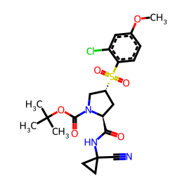 COc1ccc(S(=O)(=O)[C@@H]2C[C@@H](C(=O)NC3(C#N)CC3)N(C(=O)OC(C)(C)C)C2)c(Cl)c1